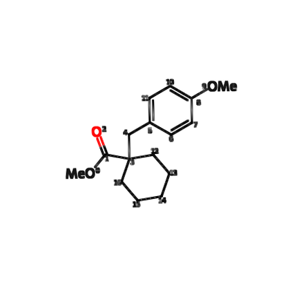 COC(=O)C1(Cc2ccc(OC)cc2)CCCCC1